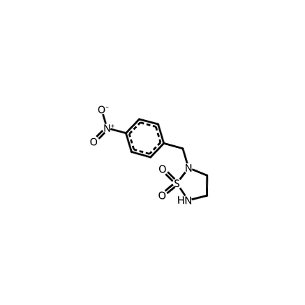 O=[N+]([O-])c1ccc(CN2CCNS2(=O)=O)cc1